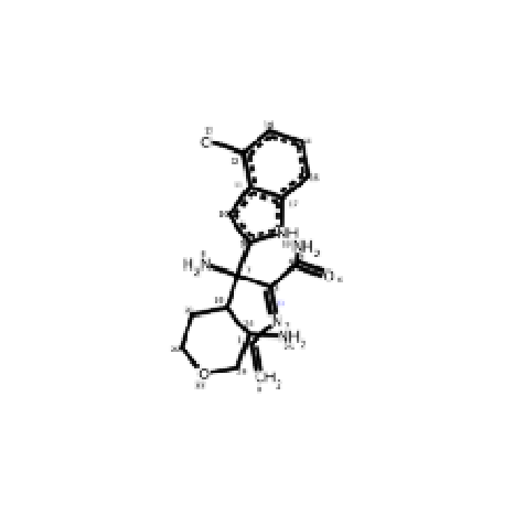 C=C/N=C(/C(N)=O)C(N)(c1cc2c(Cl)cccc2[nH]1)C1CCOCC1N